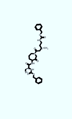 CC(C)C[C@H](NC(=O)OCc1ccccc1)C(=O)NC1CCCN(C(=O)C[C@@H](C)CCNC(=O)OCc2ccccc2)CC1=O